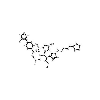 CCCC(c1cc(OCCCCC2OCCO2)no1)C(CCC(C)C)N1C[C@H](O)C[C@H]1C(=O)NC(C)c1ccc(-c2scnc2C)cc1